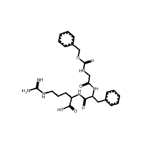 N=C(N)NCCCC(NC(=O)C(Cc1ccccc1)NC(=O)CNC(=O)OCc1ccccc1)C(=O)O